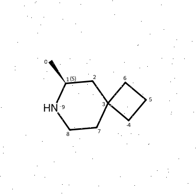 C[C@H]1CC2(CCC2)CCN1